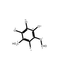 O=COc1c(F)c(C(=O)O)c(Cl)c(Cl)c1Cl